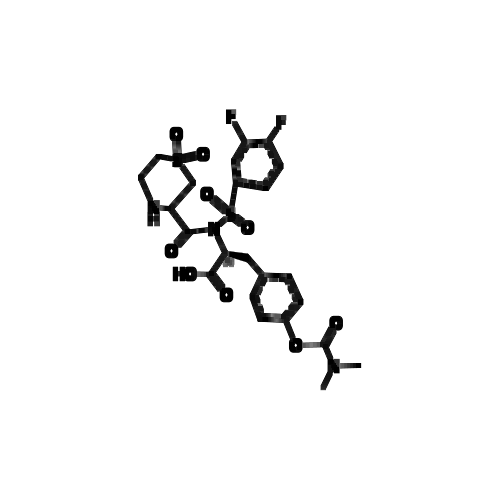 CN(C)C(=O)Oc1ccc(C[C@@H](C(=O)O)N(C(=O)C2CS(=O)(=O)CCN2)S(=O)(=O)c2ccc(F)c(F)c2)cc1